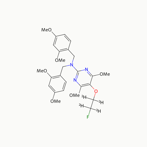 [2H]C([2H])(F)C([2H])([2H])Oc1c(OC)nc(N(Cc2ccc(OC)cc2OC)Cc2ccc(OC)cc2OC)nc1OC